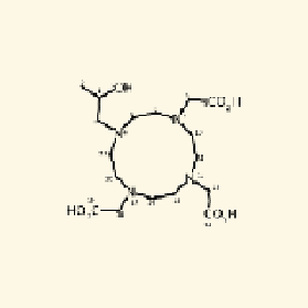 CC(O)CN1CCN(CC(=O)O)CCN(CC(=O)O)CCN(CC(=O)O)CC1